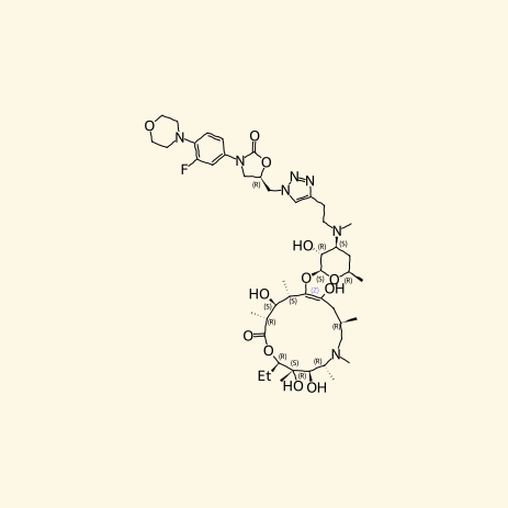 CC[C@H]1OC(=O)[C@H](C)[C@@H](O)[C@H](C)/C(O[C@@H]2O[C@H](C)C[C@H](N(C)CCc3cn(C[C@H]4CN(c5ccc(N6CCOCC6)c(F)c5)C(=O)O4)nn3)[C@H]2O)=C(/O)C[C@@H](C)CN(C)[C@H](C)[C@@H](O)[C@]1(C)O